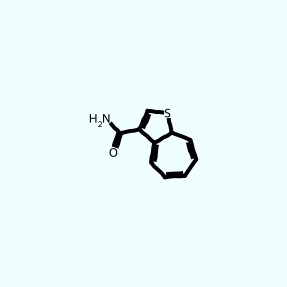 NC(=O)C1=CSC2C=CC=CC=C12